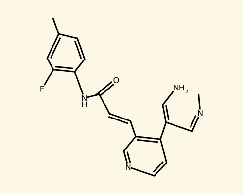 C/N=C\C(=C/N)c1ccncc1/C=C/C(=O)Nc1ccc(C)cc1F